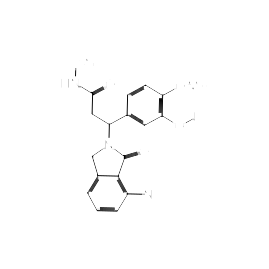 CCOc1cc(C(CC(=O)NOC(C)=O)N2Cc3cccc(N)c3C2=O)ccc1OC